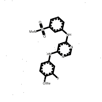 CNS(=O)(=O)c1cccc(Nc2cc(Nc3ccc(OC)c(F)c3)ncn2)c1